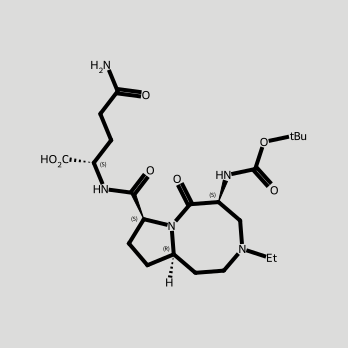 CCN1CC[C@H]2CC[C@@H](C(=O)N[C@@H](CCC(N)=O)C(=O)O)N2C(=O)[C@@H](NC(=O)OC(C)(C)C)C1